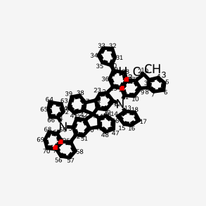 CC1(C)c2ccccc2-c2cc(N(c3ccccc3)c3cc4c(cc3-c3cccc(-c5ccccc5)c3)-c3ccccc3C43c4ccccc4-c4cc(-c5ccccc5)c(N(c5ccccc5)c5ccccc5)cc43)ccc21